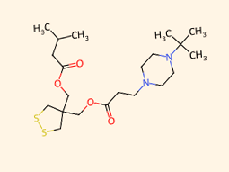 CC(C)CC(=O)OCC1(COC(=O)CCN2CCN(C(C)(C)C)CC2)CSSC1